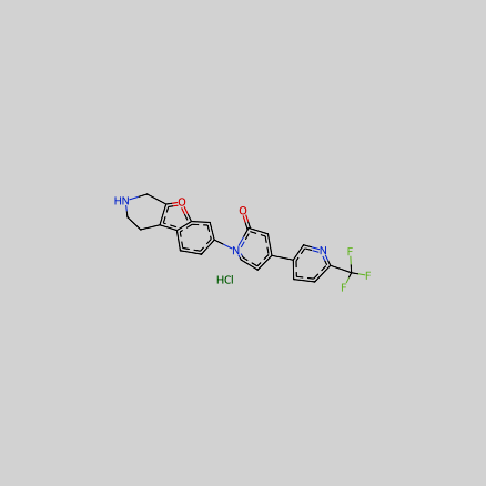 Cl.O=c1cc(-c2ccc(C(F)(F)F)nc2)ccn1-c1ccc2c3c(oc2c1)CNCC3